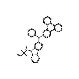 C=CC(C)(C)[C@@H](C)N1c2cc(N(c3ccccc3)c3ccc4c5ccccc5c5ccccc5c4c3)ccc2C2C=CC=CC21